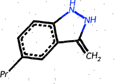 C=C1NNc2ccc(C(C)C)cc21